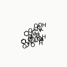 C[C@@H](CN(C(=O)O)C(C)(C)C)C(=O)N[C@H](C(=O)N1C[C@H]2C[C@H]3C[C@H]3N2C[C@H]1C(=O)N[C@@H]1CCOc2ccccc21)C1CCCCC1